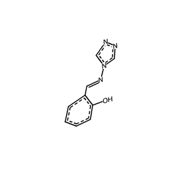 Oc1ccccc1/C=N/n1cnnc1